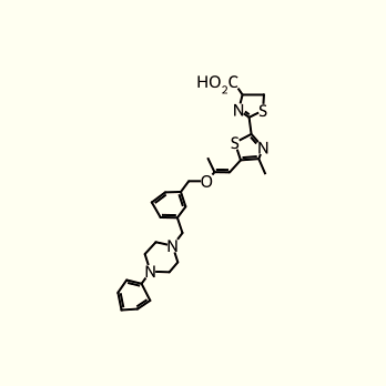 C/C(=C\c1sc(C2=NC(C(=O)O)CS2)nc1C)OCc1cccc(CN2CCN(c3ccccc3)CC2)c1